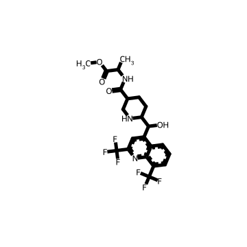 COC(=O)C(C)NC(=O)C1CCC(C(O)c2cc(C(F)(F)F)nc3c(C(F)(F)F)cccc23)NC1